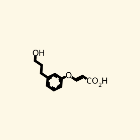 O=C(O)/C=C/Oc1cccc(CCCO)c1